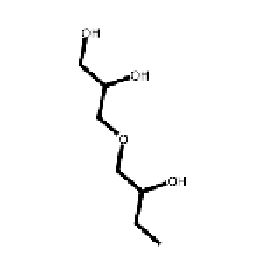 CCC(O)COCC(O)CO